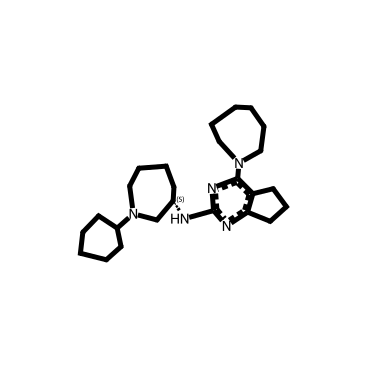 C1CCC(N2CCCC[C@H](Nc3nc4c(c(N5CCCCCC5)n3)CCC4)C2)CC1